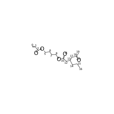 C=CC(=O)OCCCCOC(=O)CC(CCC)CC(C)=O